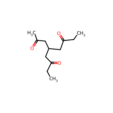 CCC(=O)CC(CC(C)=O)CC(=O)CC